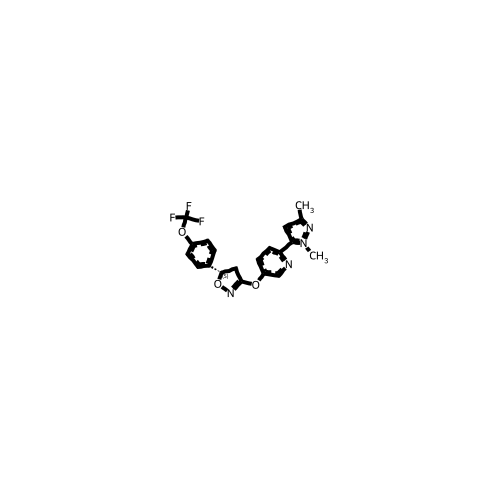 Cc1cc(-c2ccc(OC3=NO[C@H](c4ccc(OC(F)(F)F)cc4)C3)cn2)n(C)n1